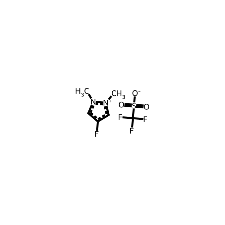 Cn1cc(F)c[n+]1C.O=S(=O)([O-])C(F)(F)F